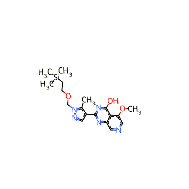 COc1cncc2nc(-c3cnn(COCC[Si](C)(C)C)c3C)nc(O)c12